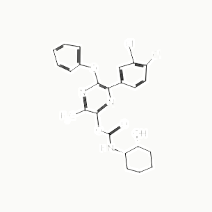 O=C(N[C@@H]1CCCC[C@H]1O)Oc1nc(-c2ccc(Cl)c(Cl)c2)c(Oc2ccccc2)nc1C(F)(F)F